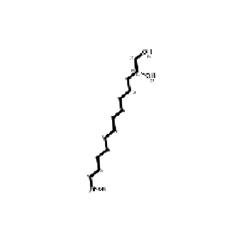 CCCCCCCCCCCCCCCCC[CH]CC[C@@H](O)CO